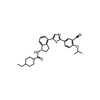 CCC1CCN(C(=O)N[C@@H]2CCc3c(-c4cnc(-c5ccc(OC(C)C)c(C#N)c5)s4)cccc32)CC1